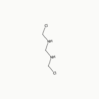 ClCNCNCCl